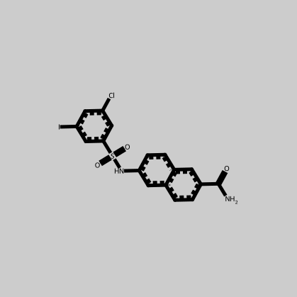 NC(=O)c1ccc2cc(NS(=O)(=O)c3cc(Cl)cc(I)c3)ccc2c1